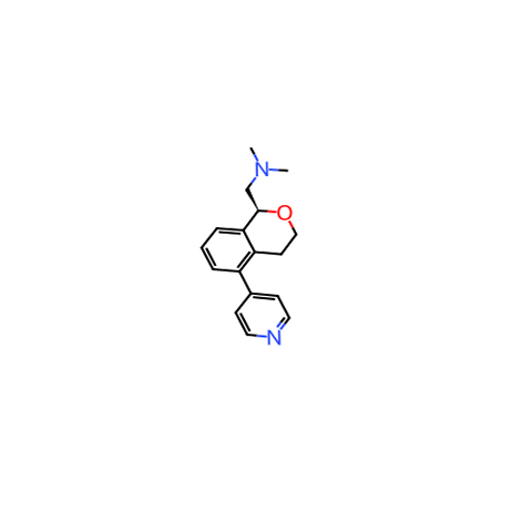 CN(C)C[C@H]1OCCc2c(-c3ccncc3)cccc21